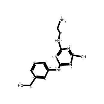 NCCNc1nc(O)nc(Nc2cccc(CO)c2)n1